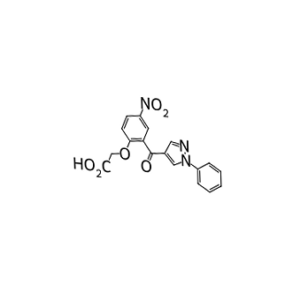 O=C(O)COc1ccc([N+](=O)[O-])cc1C(=O)c1cnn(-c2ccccc2)c1